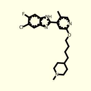 Cc1cnc(OCCCCC2CCN(C)CC2)cc1-c1nc2cc(Cl)c(F)cc2[nH]1